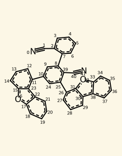 N#Cc1ccccc1-c1cc(-c2cccc3oc4ccccc4c23)cc(-c2cccc3c2oc2ccccc23)c1C#N